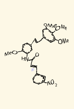 COc1ccc(C=Cc2cc(OC)c(OC)c(OC)c2)cc1NC(=O)/C=C/c1cccc([N+](=O)[O-])c1